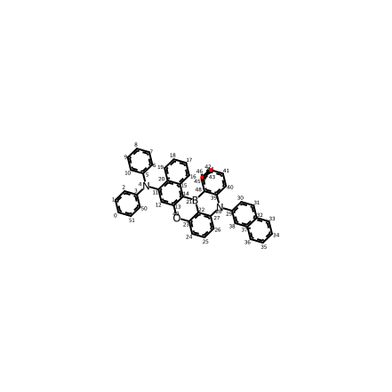 c1ccc(N(c2ccccc2)c2cc3c(c4ccccc24)B2c4c(cccc4N(c4ccc5ccccc5c4)c4ccc5ccccc5c42)O3)cc1